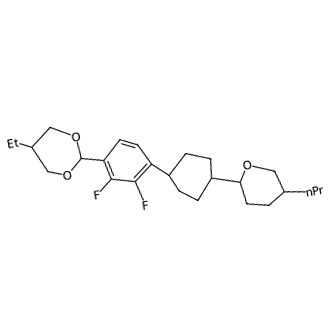 CCCC1CCC(C2CCC(c3ccc(C4OCC(CC)CO4)c(F)c3F)CC2)OC1